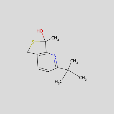 CC(C)(C)c1ccc2c(n1)C(C)(O)SC2